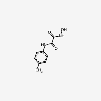 Cc1ccc(NC(=O)C(=O)NO)cc1